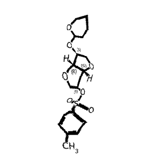 Cc1ccc(S(=O)(=O)O[C@H]2CO[C@H]3[C@@H]2OC[C@@H]3OC2CCCCO2)cc1